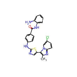 Cc1nc2ccc(Cl)cn2c1-c1cnc(Nc2ccc(C(=O)Nc3ccccc3N)cc2)s1